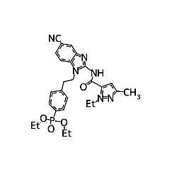 CCOP(=O)(OCC)c1ccc(CCn2c(NC(=O)c3cc(C)nn3CC)nc3cc(C#N)ccc32)cc1